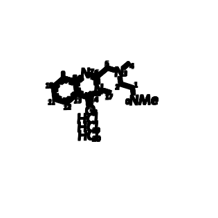 CNCCN(C)Cc1nc2ccccc2c(=O)n1C.Cl.Cl.Cl